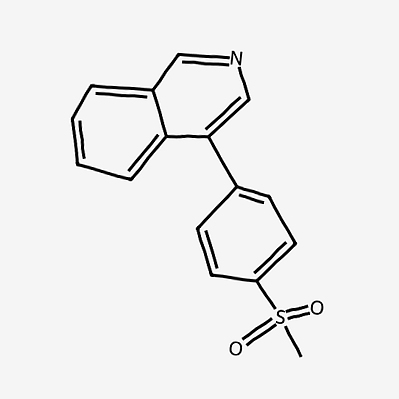 CS(=O)(=O)c1ccc(-c2cncc3ccccc23)cc1